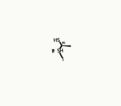 C[C@H](S)[SH](#P)I